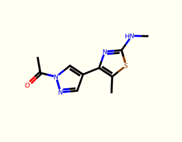 CNc1nc(-c2cnn(C(C)=O)c2)c(C)s1